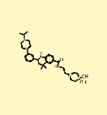 CC(C)N1CCN(c2cccc(C3CC(C)(C)c4cc(C(=O)NCCN5CCS(O)(O)CC5)ccc4N3)c2)CC1